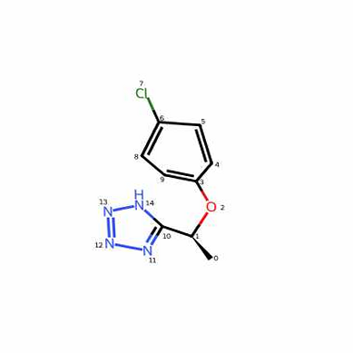 C[C@H](Oc1ccc(Cl)cc1)c1nnn[nH]1